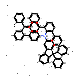 c1ccc(-c2cccc(-c3ccccc3)c2N(c2ccc3c(c2)-c2ccccc2C3(c2ccccc2)c2ccccc2)c2ccc3c(c2)c(-c2ccccc2)c(-c2ccccc2)c2ccccc23)cc1